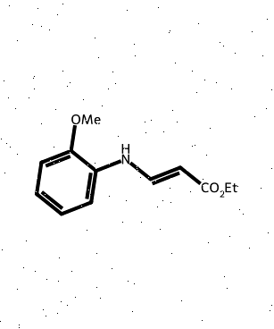 CCOC(=O)C=CNc1ccccc1OC